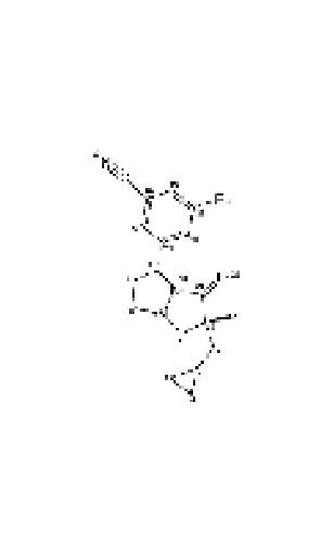 C[C@@]1(CC2CC2)CN2CC[C@H](c3cc(F)cc(C#N)c3)N2C1=O